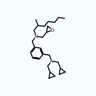 CCCCCC(C)CN(Cc1cccc(CN(CC2CC2)CC2CC2)c1)CC1CO1